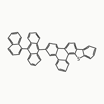 c1ccc2c(-c3c4ccccc4c(-c4ccc5c(c4)c4ccccc4c4c5ccc5c6ccccc6sc54)c4ccccc34)cccc2c1